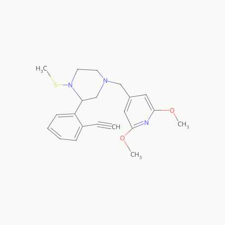 C#Cc1ccccc1C1CN(Cc2cc(OC)nc(OC)c2)CCN1SC